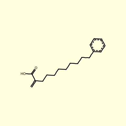 C=C(CCCCCCCCCc1ccccc1)C(=O)O